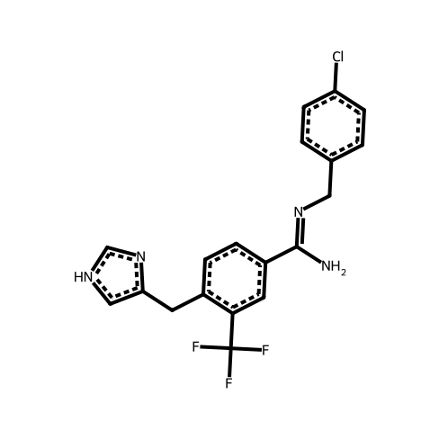 NC(=NCc1ccc(Cl)cc1)c1ccc(Cc2c[nH]cn2)c(C(F)(F)F)c1